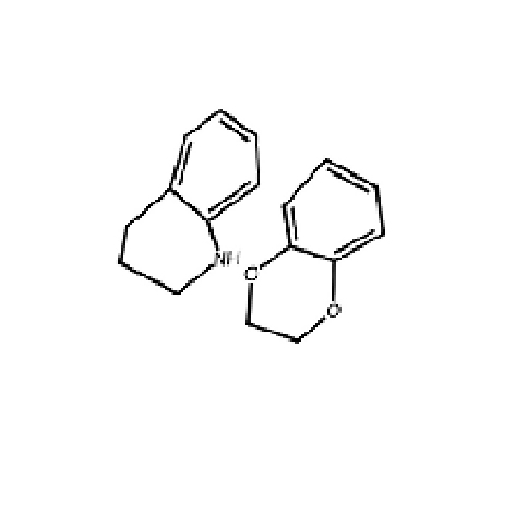 c1ccc2c(c1)CCCN2.c1ccc2c(c1)OCCO2